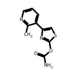 Cc1ncccc1-c1csc(OC(N)=O)n1